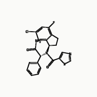 NC(=O)[C@@H](c1ccccc1)N(C(=O)c1cncs1)[C@@H]1CCc2c(F)cc(Cl)cc21